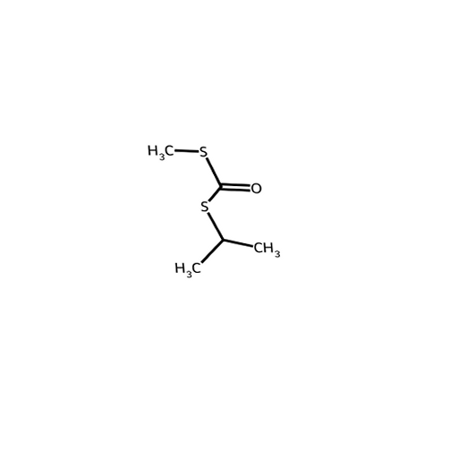 CSC(=O)SC(C)C